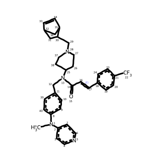 CN(c1ccncc1)c1ccc(CN(C(=O)/C=C/c2ccc(C(F)(F)F)cc2)C2CCN(CC3CC4C=CC3C4)CC2)cc1